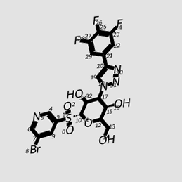 O=S(=O)(c1cncc(Br)c1)[C@H]1OC(CO)[C@H](O)C(n2cc(-c3cc(F)c(F)c(F)c3)nn2)C1O